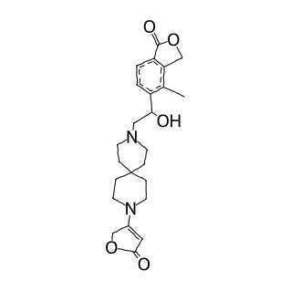 Cc1c(C(O)CN2CCC3(CC2)CCN(C2=CC(=O)OC2)CC3)ccc2c1COC2=O